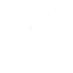 CC(CO)COC(=O)[C@@H](NC(=O)OCc1ccccc1)C(C)C